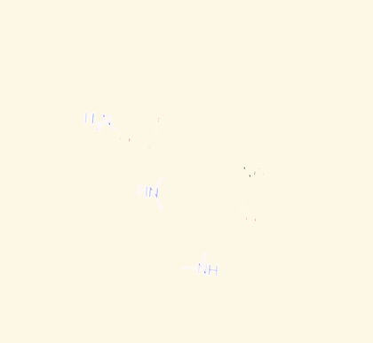 NOC(=O)C1C=C(C(=O)N=O)C2=C(C=CNC2)N1